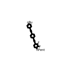 CCCCCc1ccc(C#Cc2ccc(C#Cc3ccc(CCCC)cc3)cc2)c(F)c1F